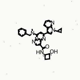 CN(Cc1ccccc1)c1cc(-c2cn(C3CC3)c3ncccc23)nc2c(C(=O)N[C@H]3CC[C@H]3O)cnn12